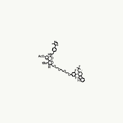 CC(=O)O[C@@H]1C[C@@H](C(=O)NCc2ccc(-c3scnc3C)cc2)N(C(=O)C(NC(=O)COCCOCCOCCOc2cc(F)c([C@@H]3c4[nH]c5ccccc5c4C[C@@H](C)N3CC(C)(C)F)c(F)c2)C(C)(C)C)C1